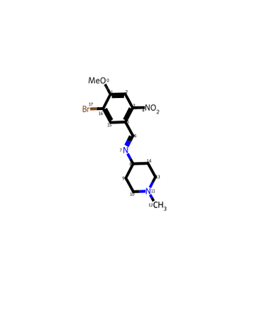 COc1cc([N+](=O)[O-])c(C=NC2CCN(C)CC2)cc1Br